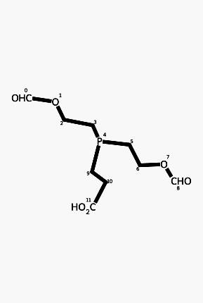 O=COCCP(CCOC=O)CCC(=O)O